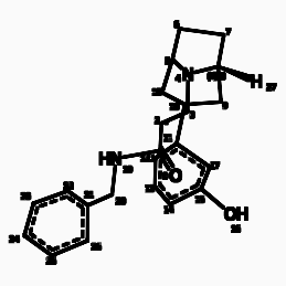 O=C([CH]CN1C2CC[C@@H]1CC(c1cccc(O)c1)C2)NCc1ccccc1